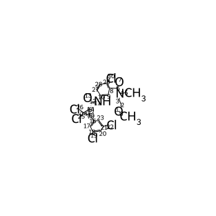 COCCN(C)C(=O)c1cc(NC(=O)[C@@H]2[C@@H](c3cc(Cl)cc(Cl)c3)C2(Cl)Cl)ccc1Cl